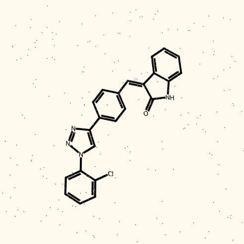 O=C1Nc2ccccc2/C1=C/c1ccc(-c2cn(-c3ccccc3Cl)nn2)cc1